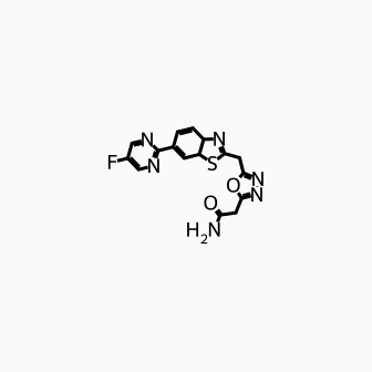 NC(=O)Cc1nnc(CC2=NC3C=CC(c4ncc(F)cn4)=CC3S2)o1